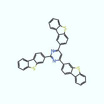 c1ccc2c(c1)sc1cc(-c3cc(-c4ccc5sc6ccccc6c5c4)nc(-c4ccc5c(c4)sc4ccccc45)n3)ccc12